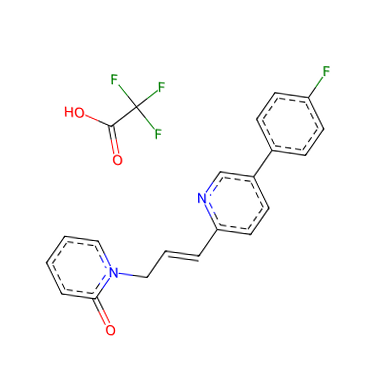 O=C(O)C(F)(F)F.O=c1ccccn1CC=Cc1ccc(-c2ccc(F)cc2)cn1